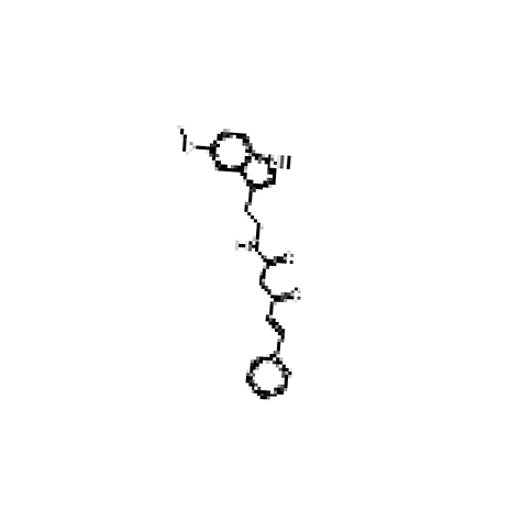 COc1ccc2[nH]cc(CCNC(=O)CC(=O)/C=C/c3ccccc3)c2c1